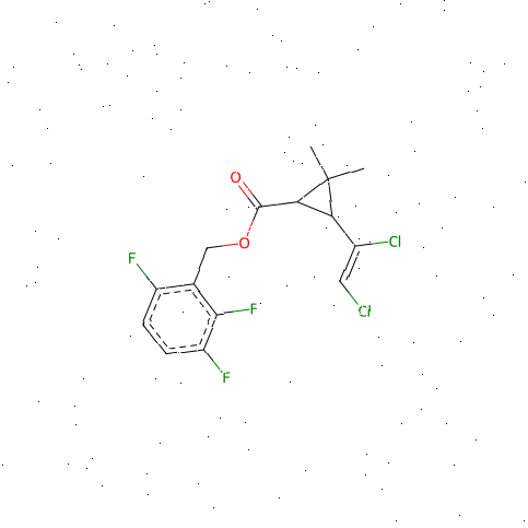 CC1(C)C(C(=O)OCc2c(F)ccc(F)c2F)C1C(Cl)=CCl